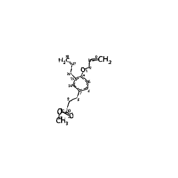 C=CCOc1ccc(CCC(=O)OC)cc1CC=C